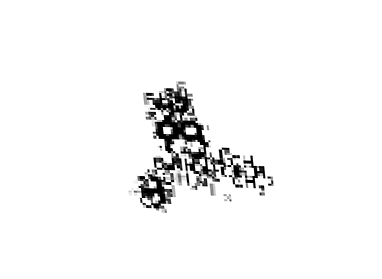 CC(C)(C)OC(=O)N1[C@H](Cc2ccc(OS(=O)(=O)C(F)(F)F)cc2)[C@H](CN(Cc2ccc(OC(F)(F)F)cc2)NC(=O)O[C@H]2CO[C@H]3OCC[C@H]32)OC1(C)C